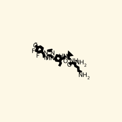 CCc1cc(Nc2nccn3c(-c4ccc(OC)c(F)c4F)cnc23)ccc1C(=O)NC1(CNC(=O)[C@@H](N)CCCCN)CC1